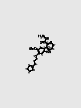 COc1cc2c(cc1OCCCN1CCCC1)[nH]c1ccnc(C(=O)NN)c12